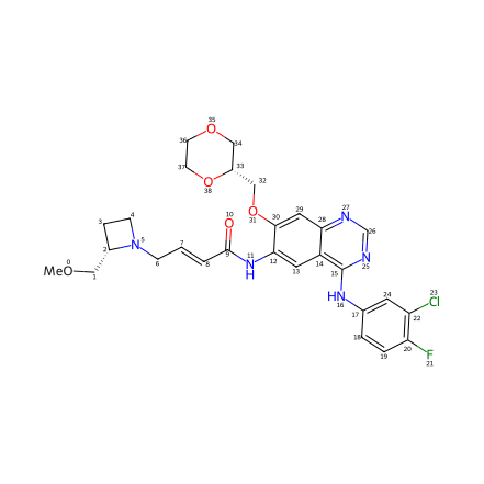 COC[C@@H]1CCN1CC=CC(=O)Nc1cc2c(Nc3ccc(F)c(Cl)c3)ncnc2cc1OC[C@H]1COCCO1